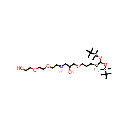 CC(C)(C)[Si](C)(C)OC(O[Si](C)(C)C(C)(C)C)[SiH2]CCCOCC(O)CNCCOCCOCCO